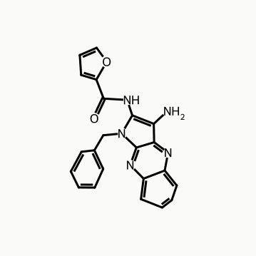 Nc1c(NC(=O)c2ccco2)n(Cc2ccccc2)c2nc3ccccc3nc12